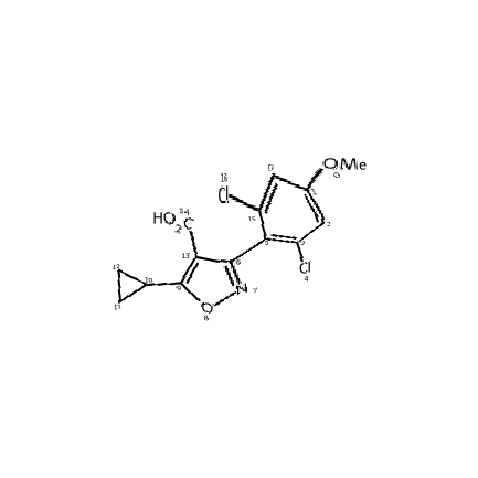 COc1cc(Cl)c(-c2noc(C3CC3)c2C(=O)O)c(Cl)c1